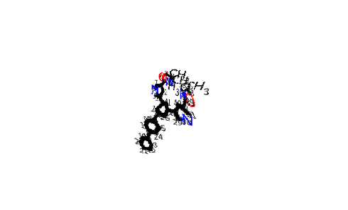 CC1(C)COC(c2cncc(-c3cc(-c4ccc(-c5ccccc5)cc4)cc(-c4cncc(C5=NC(C)(C)CO5)c4)c3)c2)=N1